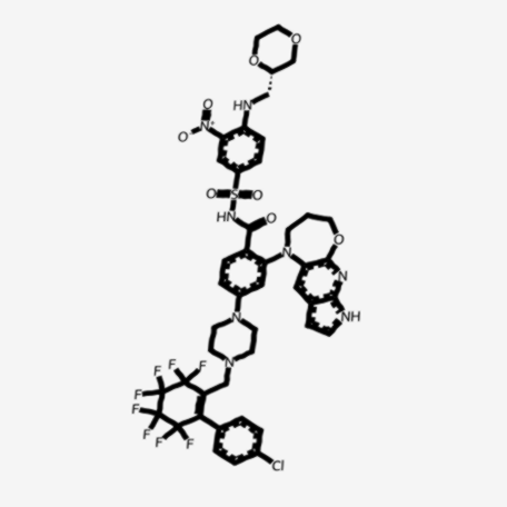 O=C(NS(=O)(=O)c1ccc(NC[C@H]2COCCO2)c([N+](=O)[O-])c1)c1ccc(N2CCN(CC3=C(c4ccc(Cl)cc4)C(F)(F)C(F)(F)C(F)(F)C3(F)F)CC2)cc1N1CCCOc2nc3[nH]ccc3cc21